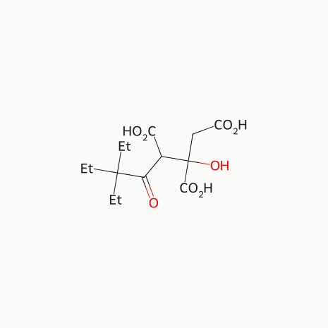 CCC(CC)(CC)C(=O)C(C(=O)O)C(O)(CC(=O)O)C(=O)O